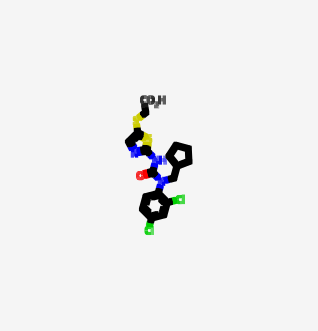 O=C(O)CSc1cnc(NC(=O)N(CC2CCCC2)c2ccc(Cl)cc2Cl)s1